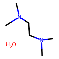 CN(C)CCN(C)C.O